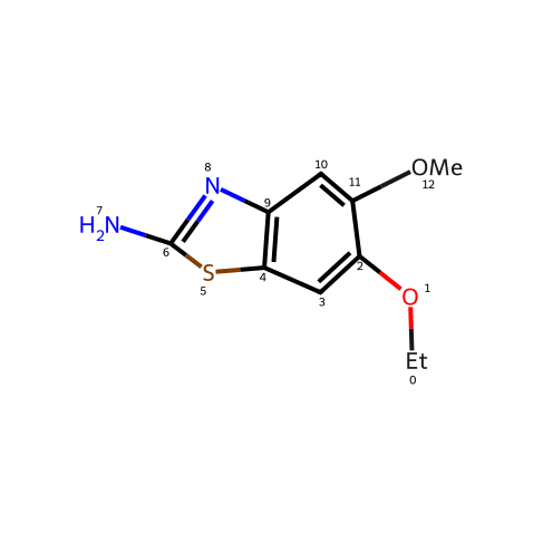 CCOc1cc2sc(N)nc2cc1OC